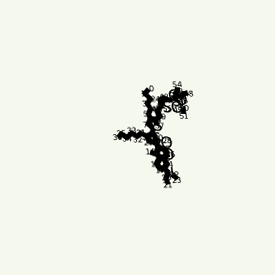 CCCCCCc1cc(-c2sc(-c3c(C)c4ccc(N(CC)CC)cc4oc3=O)cc2CCCCCC)sc1/C=C/c1ccc([Si](OCC)(OCC)OCC)s1